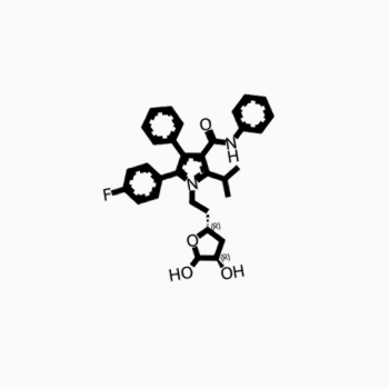 CC(C)c1c(C(=O)Nc2ccccc2)c(-c2ccccc2)c(-c2ccc(F)cc2)n1CC[C@@H]1C[C@@H](O)C(O)O1